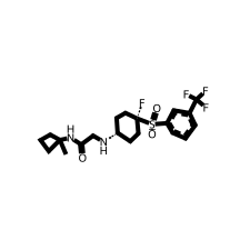 CC1(NC(=O)CN[C@H]2CC[C@](F)(S(=O)(=O)c3cccc(C(F)(F)F)c3)CC2)CCC1